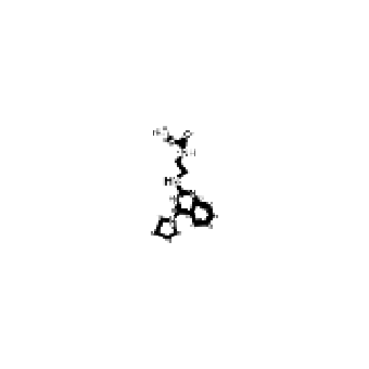 CC(C)(C)OC(=O)NCCNc1nc(N2CCCC2)c2ccccc2n1